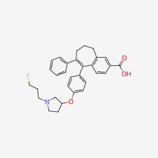 O=C(O)c1ccc2c(c1)CCCC(c1ccccc1)=C2c1ccc(OC2CCN(CCCF)C2)cc1